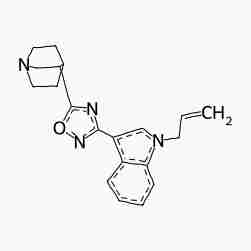 C=CCn1cc(-c2noc(C3CN4CCC3CC4)n2)c2ccccc21